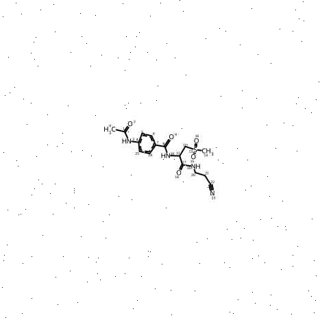 CC(=O)Nc1ccc(C(=O)NC(CS(C)(=O)=O)C(=O)NCCC#N)cc1